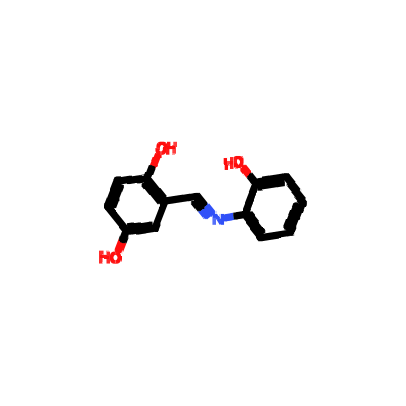 Oc1ccc(O)c(/C=N/c2ccccc2O)c1